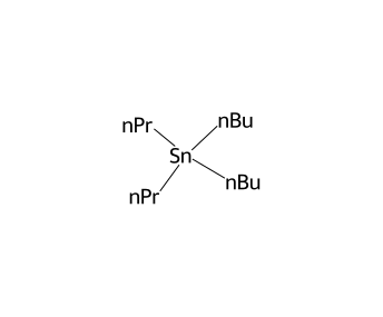 CCC[CH2][Sn]([CH2]CC)([CH2]CC)[CH2]CCC